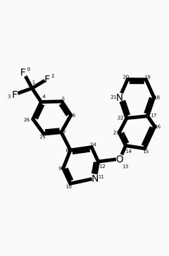 FC(F)(F)c1ccc(-c2ccnc(Oc3ccc4cccnc4c3)c2)cc1